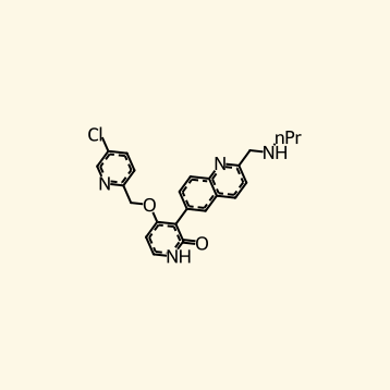 CCCNCc1ccc2cc(-c3c(OCc4ccc(Cl)cn4)cc[nH]c3=O)ccc2n1